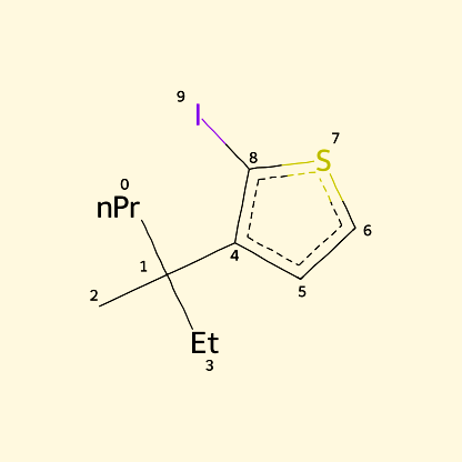 CCCC(C)(CC)c1ccsc1I